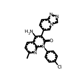 Cc1ccc2c(N)c(-c3ccc4nncn4c3)c(=O)n(-c3ccc(Cl)cc3)c2n1